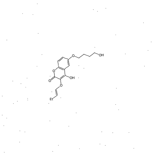 CCC=COc1c(O)c2cc(OCCCCO)ccc2oc1=O